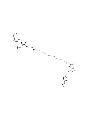 C=N/C=C\c1nc(Nc2cc(NC3CC3)c(C(=O)NCC(F)C(=O)NCCOCCOCCOCCOCCOCC(=O)N[C@H](C(=O)N3C[C@H](O)C[C@H]3C(=O)NCc3ccc(-c4scnc4C)cc3)C(C)(C)C)cn2)ccc1C